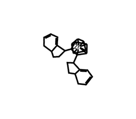 C1=CCC2CCC([C]34[CH]5[CH]6[CH]7[C]3(C3CCC8CC=CC=C83)[Zr]6574389%10[CH]4[CH]3[CH]8[CH]9[CH]4%10)C2=C1